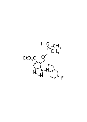 CCOC(=O)c1cc2ncnc(N3CCc4cc(F)ccc43)c2n1COCC[Si](C)(C)C